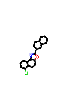 Clc1cccc2c1ccc1oc(-c3ccc4ccccc4c3)nc12